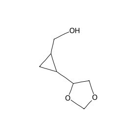 OCC1CC1C1COCO1